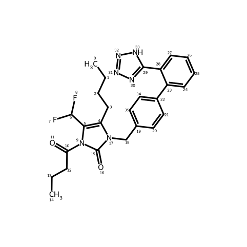 CCCCc1c(C(F)F)n(C(=O)CCC)c(=O)n1Cc1ccc(-c2ccccc2-c2nnn[nH]2)cc1